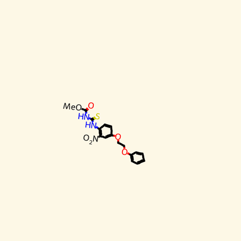 COC(=O)NC(=S)Nc1ccc(OCCOc2ccccc2)cc1[N+](=O)[O-]